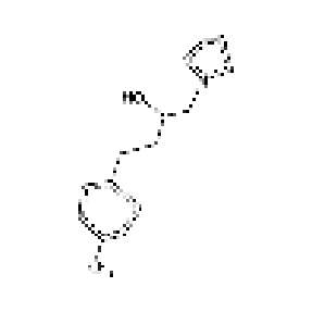 OC(CCc1ccc(C(F)(F)F)cc1)Cn1ccnc1